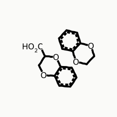 O=C(O)C1COc2ccccc2O1.c1ccc2c(c1)OCCO2